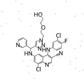 N#Cc1cnc2c(Cl)cc(NC(c3cccnc3)c3cn(CCOCCO)nn3)cc2c1Nc1ccc(F)c(Cl)c1